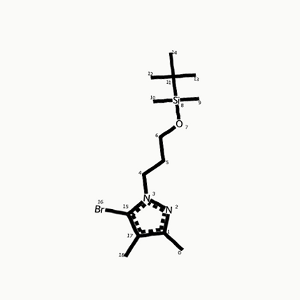 Cc1nn(CCCO[Si](C)(C)C(C)(C)C)c(Br)c1C